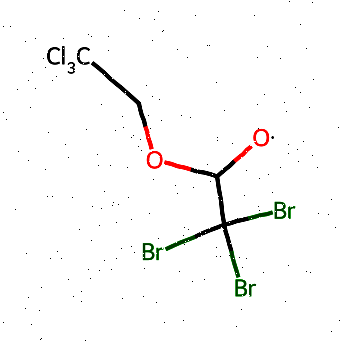 [O]C(OCC(Cl)(Cl)Cl)C(Br)(Br)Br